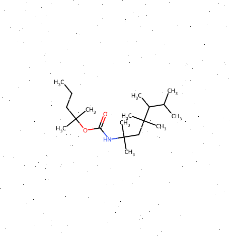 CCCC(C)(C)OC(=O)NC(C)(C)CC(C)(C)C(C)C(C)C